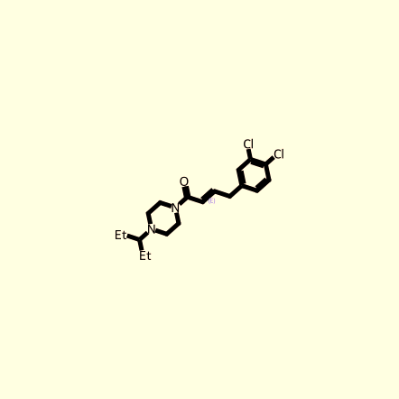 CCC(CC)N1CCN(C(=O)/C=C/Cc2ccc(Cl)c(Cl)c2)CC1